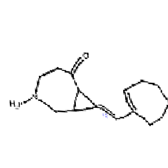 O=C1CCN(P)CC2/C(=C/C3=CCCCCC3)C12